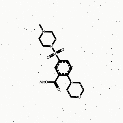 COC(=O)c1cc(S(=O)(=O)N2CCN(C)CC2)ccc1N1CCOCC1